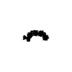 O=C(C1CC1)N1CCC(Oc2ccc(-c3ccc(Oc4ccccc4)nc3)cc2)CC1